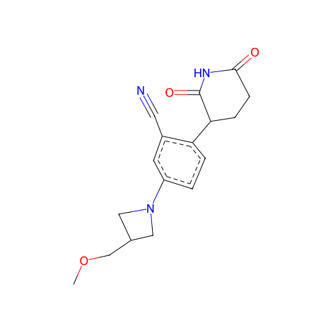 COCC1CN(c2ccc(C3CCC(=O)NC3=O)c(C#N)c2)C1